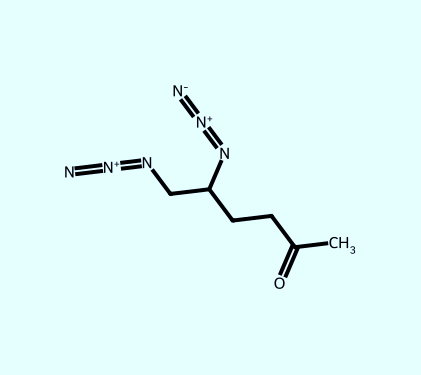 CC(=O)CCC(CN=[N+]=[N-])N=[N+]=[N-]